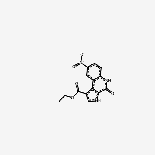 CCOC(=O)c1c[nH]c2c(=O)[nH]c3ccc([N+](=O)[O-])cc3c12